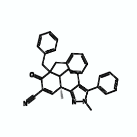 Cn1nc2c(c1-c1ccccc1)CCC1C(Cc3ccccc3)(Cc3ccccc3)C(=O)C(C#N)=C[C@]21C